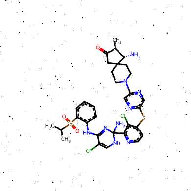 CC(C)S(=O)(=O)c1ccccc1NC1=NC(N)(c2nccc(Sc3cnc(N4CCC5(CC4)CC(=O)[C@@H](C)[C@@H]5N)cn3)c2Cl)NC=C1Cl